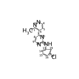 Cc1nnccc1-c1ccnc(Nc2cccc(Cl)c2)n1